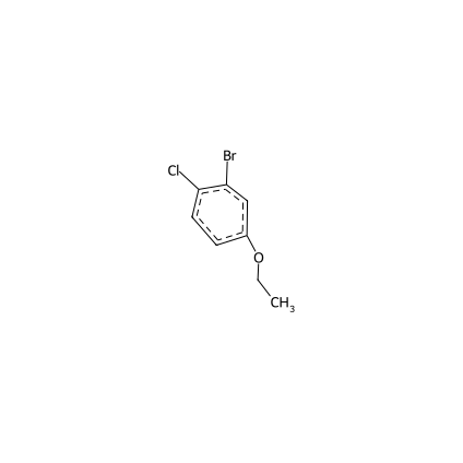 CCOc1ccc(Cl)c(Br)c1